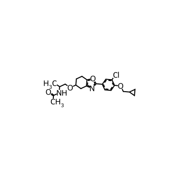 CC(=O)NC(C)COC1CCc2oc(-c3ccc(OCC4CC4)c(Cl)c3)nc2C1